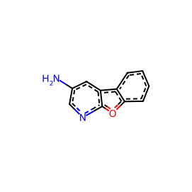 Nc1cnc2oc3ccccc3c2c1